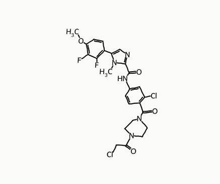 COc1ccc(-c2cnc(C(=O)Nc3ccc(C(=O)N4CCN(C(=O)CCl)CC4)c(Cl)c3)n2C)c(F)c1F